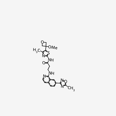 COC1(c2sc(NC(=O)CCNc3nccc4ccc(-c5noc(C)n5)cc34)nc2C)COC1